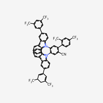 N#Cc1cc(-n2c3ccccc3c3cc(C4=CC(C(F)(F)F)CC(C(F)(F)F)=C4)ccc32)c(-n2c3ccccc3c3cc(-c4cc(C(F)(F)F)cc(C(F)(F)F)c4)ccc32)cc1-c1ccc(C(F)(F)F)cc1C(F)(F)F